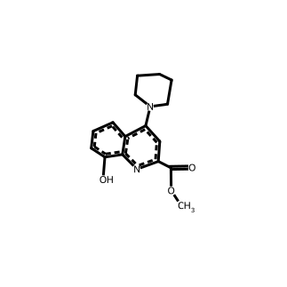 COC(=O)c1cc(N2CCCCC2)c2cccc(O)c2n1